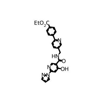 CCOC(=O)c1ccc(-c2ccc(CNC(=O)c3cnc(-n4cccn4)cc3O)cn2)cc1